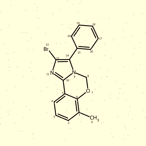 Cc1cccc2c1OCn1c-2nc(Br)c1-c1ccccc1